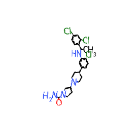 CC(Nc1cc(C2CCN(C3CCN(C(N)=O)C3)CC2)ccc1Cl)c1ccc(Cl)cc1Cl